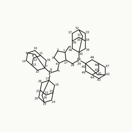 CC1CCC(CP(C23CC4CC(CC(C4)C2)C3)C23CC4CC(CC(C4)C2)C3)C1CP(C12CC3CC(CC(C3)C1)C2)C12CC3CC(CC(C3)C1)C2